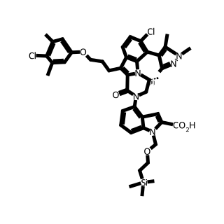 Cc1cc(OCCCc2c3n(c4c(-c5c(C)nn(C)c5C)c(Cl)ccc24)[C@H](C)CN(c2cccc4c2cc(C(=O)O)n4COCC[Si](C)(C)C)C3=O)cc(C)c1Cl